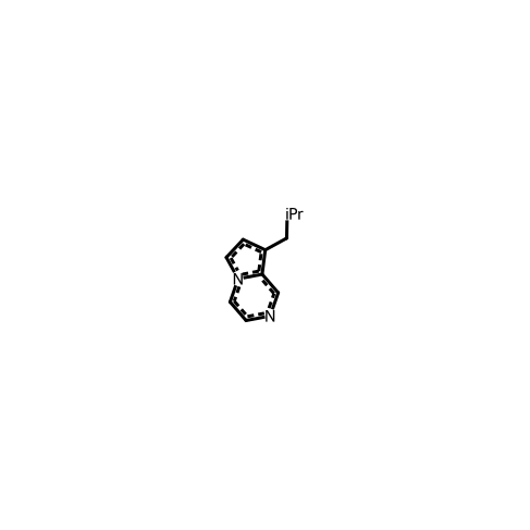 CC(C)Cc1ccn2ccncc12